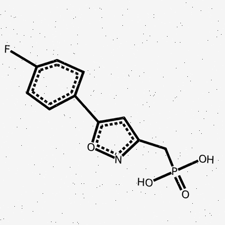 O=P(O)(O)Cc1cc(-c2ccc(F)cc2)on1